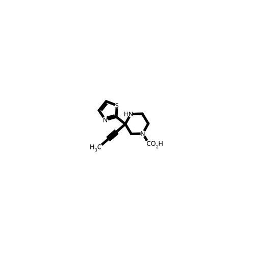 CC#CC1(c2nccs2)CN(C(=O)O)CCN1